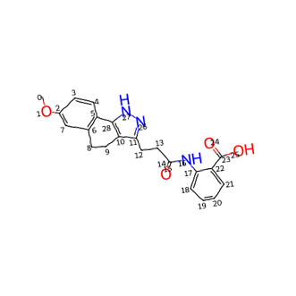 COc1ccc2c(c1)CCc1c(CCC(=O)Nc3ccccc3C(=O)O)n[nH]c1-2